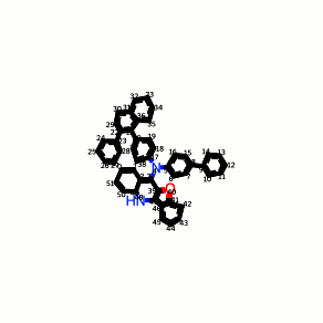 C1=CC2=C(N(c3ccc(-c4ccccc4)cc3)c3ccc(-c4c(-c5ccccc5)ccc5ccccc45)cc3)c3oc4ccccc4c3NC2C=C1